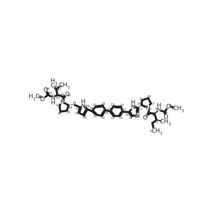 CC[C@H](C)[C@H](NC(=O)OC)C(=O)N1CCC[C@H]1c1ncc(-c2ccc(-c3ccc(-c4ccc(C[C@@H]5CCCN5C(=O)C(NC(=O)OC)C(C)C)[nH]4)cc3)cc2)[nH]1